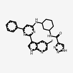 O=C(NC1CCCC(Nc2cc(-c3ccccc3)nc(-c3c[nH]c4ncc(F)cc34)n2)C1)c1c[nH]nn1